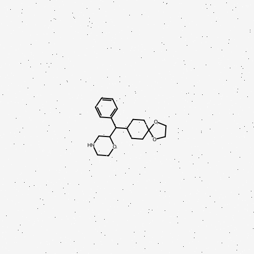 c1ccc(C(C2CCC3(CC2)OCCO3)C2CNCCO2)cc1